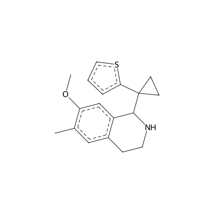 COc1cc2c(cc1C)CCNC2C1(c2cccs2)CC1